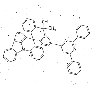 CC1(C)c2ccccc2C2(c3ccccc3-n3c4ccccc4c4cccc2c43)c2ccc(-c3cc(-c4ccccc4)nc(-c4ccccc4)n3)cc21